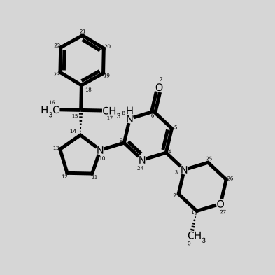 C[C@@H]1CN(c2cc(=O)[nH]c(N3CCC[C@@H]3C(C)(C)c3ccccc3)n2)CCO1